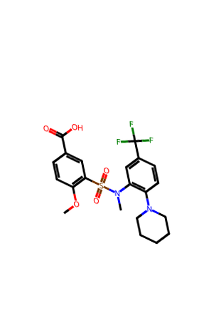 COc1ccc(C(=O)O)cc1S(=O)(=O)N(C)c1cc(C(F)(F)F)ccc1N1CCCCC1